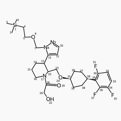 C[Si](C)(C)CCOCn1nccc1C1CCCN(C(=O)CO)C1CO[C@H]1CC[C@@H](c2c(F)ccc(F)c2F)CC1